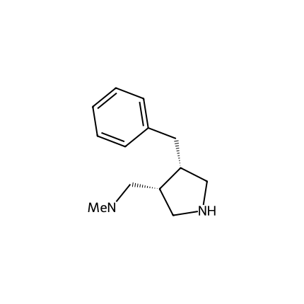 CNC[C@H]1CNC[C@H]1Cc1ccccc1